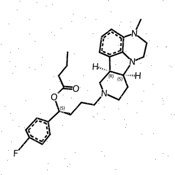 CCCC(=O)O[C@@H](CCCN1CC[C@H]2[C@@H](C1)c1cccc3c1N2CCN3C)c1ccc(F)cc1